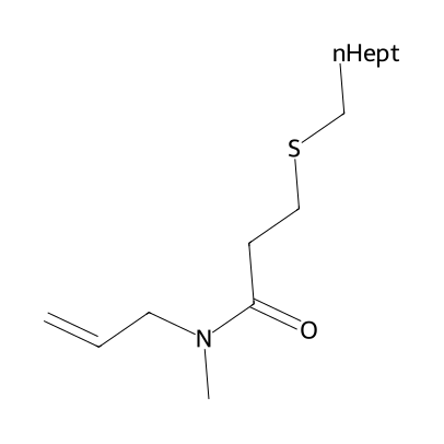 C=CCN(C)C(=O)CCSCCCCCCCC